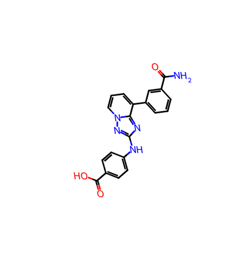 NC(=O)c1cccc(-c2cccn3nc(Nc4ccc(C(=O)O)cc4)nc23)c1